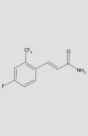 NC(=O)/C=C/c1ccc(F)cc1C(F)(F)F